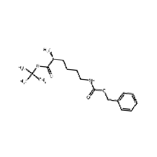 C[C@@H](CCCCNC(=O)OCc1ccccc1)C(=O)OC(C)(C)C